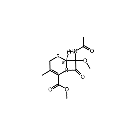 COC(=O)C1=C(C)CS[C@@H]2N1C(=O)C2(NC(C)=O)OC